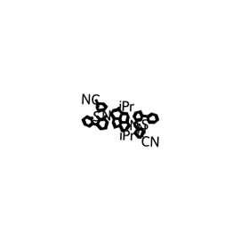 CC(C)c1cc(N(c2ccc(C#N)cc2)c2cccc3c2sc2ccccc23)c2ccc3c(C(C)C)cc(N(c4ccc(C#N)cn4)c4cccc5c4sc4ccccc45)c4ccc1c2c34